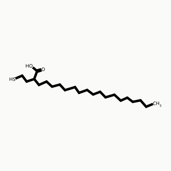 CCCCCCCCCCCCCCCCCCC(CCS)C(=O)O